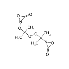 CC(C)(OOC(C)(C)N1OC1=O)ON1OC1=O